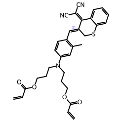 C=CC(=O)OCCCN(CCCOC(=O)C=C)c1ccc(/C=C2\CSc3ccccc3C2=C(C#N)C#N)c(C)c1